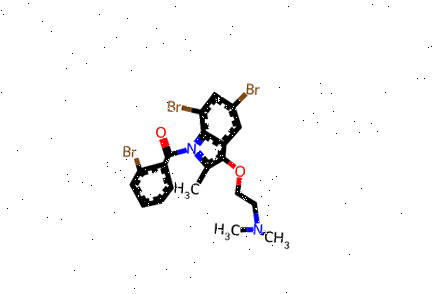 Cc1c(OCCN(C)C)c2cc(Br)cc(Br)c2n1C(=O)c1ccccc1Br